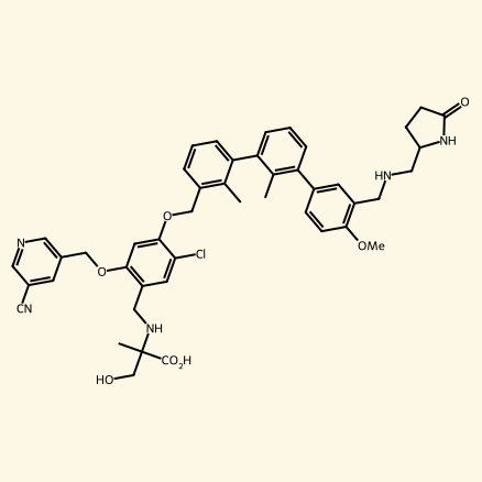 COc1ccc(-c2cccc(-c3cccc(COc4cc(OCc5cncc(C#N)c5)c(CNC(C)(CO)C(=O)O)cc4Cl)c3C)c2C)cc1CNCC1CCC(=O)N1